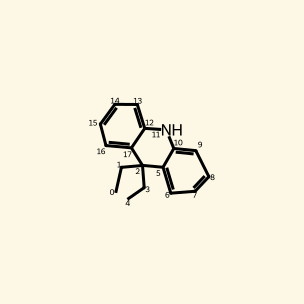 CCC1(CC)c2ccccc2Nc2ccccc21